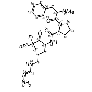 CCCC(F)(F)C(=O)C(CCCNC=NN)NC(=O)[C@@H]1CCCN1C(=O)[C@@H](Cc1ccccc1)NC